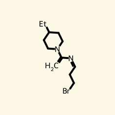 C=C(/N=C\CCBr)N1CCC(CC)CC1